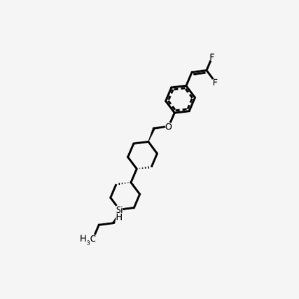 CCC[Si@H]1CC[C@H]([C@H]2CC[C@H](COc3ccc(C=C(F)F)cc3)CC2)CC1